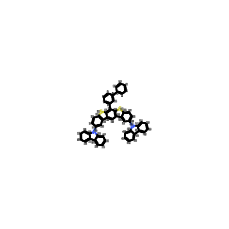 c1ccc(-c2cccc(-c3c4sc5ccc(-n6c7ccccc7c7ccccc76)cc5c4cc4c3sc3ccc(-n5c6ccccc6c6ccccc65)cc34)c2)cc1